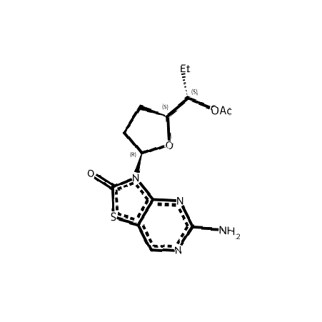 CC[C@H](OC(C)=O)[C@@H]1CC[C@H](n2c(=O)sc3cnc(N)nc32)O1